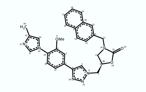 COc1cc(-c2cn(C[C@H]3CN(Cc4ccc5ccccc5c4)C(=O)O3)nn2)ccc1-n1cnc(C)c1